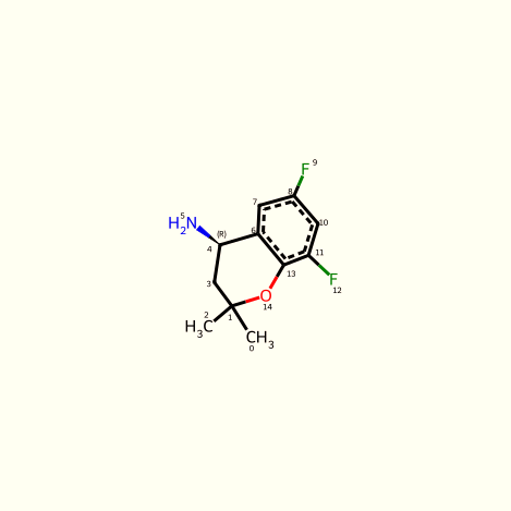 CC1(C)C[C@@H](N)c2cc(F)cc(F)c2O1